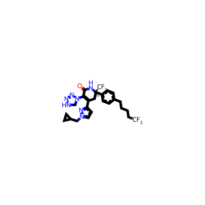 O=C1N[C@@](c2ccc(CCCCC(F)(F)F)cc2)(C(F)(F)F)CC(c2ccn(CC3CC3)n2)=C1N1CNN=N1